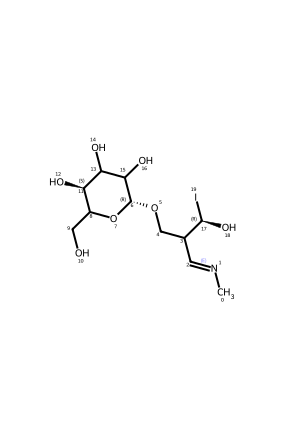 C/N=C/C(CO[C@@H]1OC(CO)[C@@H](O)C(O)C1O)[C@H](O)I